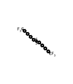 FC(F)(F)c1ccc(-c2ccc(-c3ccc(-c4ccc5c(c4)sc4c6ccc(-c7ccc(-c8ccc(-c9ccc(C(F)(F)F)cc9)cc8)cc7)cc6sc54)cc3)cc2)cc1